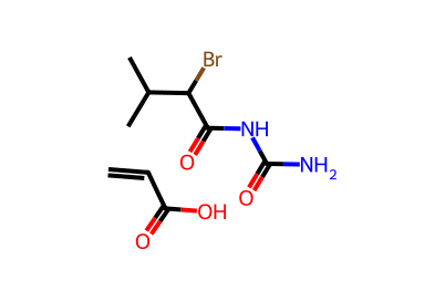 C=CC(=O)O.CC(C)C(Br)C(=O)NC(N)=O